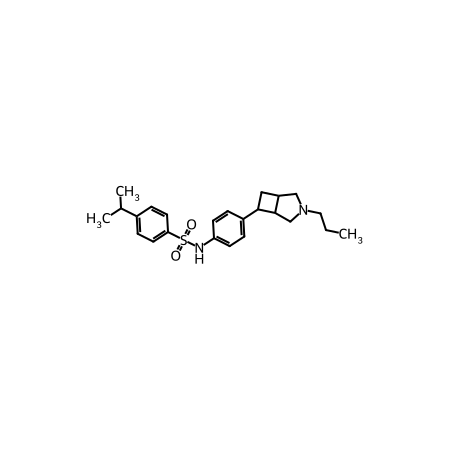 CCCN1CC2CC(c3ccc(NS(=O)(=O)c4ccc(C(C)C)cc4)cc3)C2C1